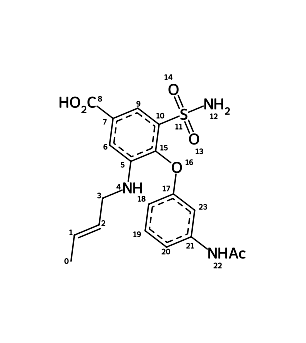 CC=CCNc1cc(C(=O)O)cc(S(N)(=O)=O)c1Oc1cccc(NC(C)=O)c1